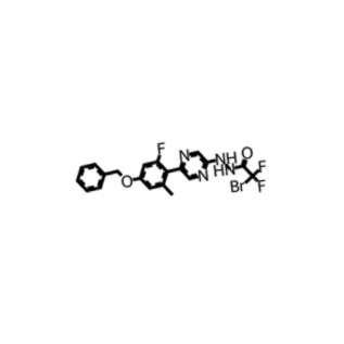 Cc1cc(OCc2ccccc2)cc(F)c1-c1cnc(NNC(=O)C(F)(F)Br)cn1